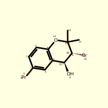 CC(C)c1ccc2c(c1)[C@H](O)[C@@H](Br)C(C)(C)O2